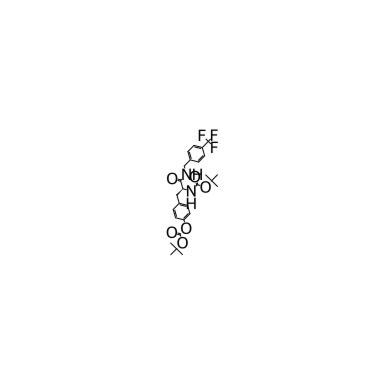 CC(C)(C)OC(=O)N[C@@H](Cc1ccc(OC(=O)OC(C)(C)C)cc1)C(=O)NCc1ccc(C(F)(F)F)cc1